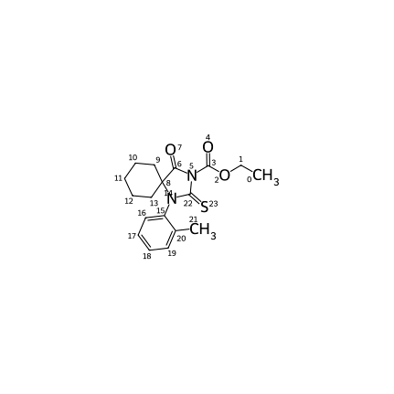 CCOC(=O)N1C(=O)C2(CCCCC2)N(c2ccccc2C)C1=S